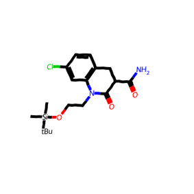 CC(C)(C)[Si](C)(C)OCCN1C(=O)C(C(N)=O)Cc2ccc(Cl)cc21